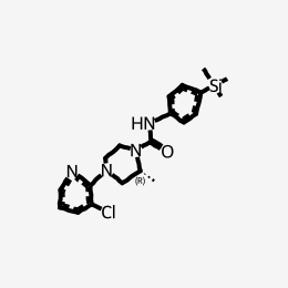 C[C@@H]1CN(c2ncccc2Cl)CCN1C(=O)Nc1ccc([Si](C)(C)C)cc1